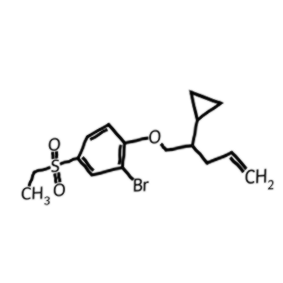 C=CCC(COc1ccc(S(=O)(=O)CC)cc1Br)C1CC1